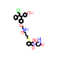 O=C(CCCCSc1cccc2c1C(=O)N(C1CCC(=O)NC1=O)C2=O)NCCOc1ccc(C(=C(CCCl)c2ccccc2)c2ccc(O)cc2)cc1